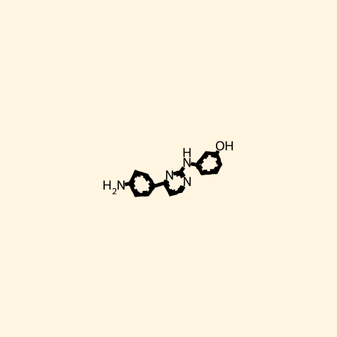 Nc1ccc(-c2ccnc(Nc3cccc(O)c3)n2)cc1